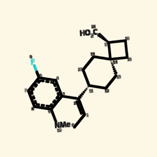 C/C=C(\c1cc(F)ccc1NC)[C@H]1CC[C@]2(CC[C@@H]2C(=O)O)CC1